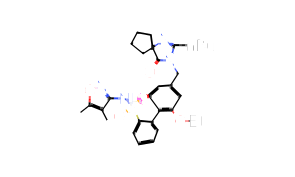 CCCCC1=NC2(CCCC2)C(=O)N1Cc1ccc(-c2ccccc2S(=O)(=O)Nc2noc(C)c2C)c(OCC)c1